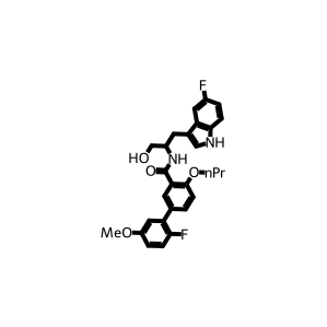 CCCOc1ccc(-c2cc(OC)ccc2F)cc1C(=O)NC(CO)Cc1c[nH]c2ccc(F)cc12